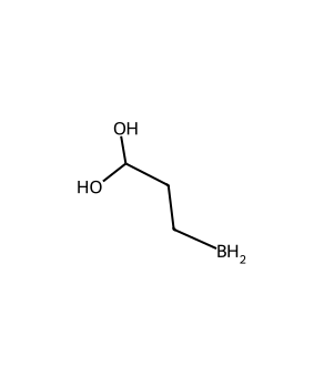 BCCC(O)O